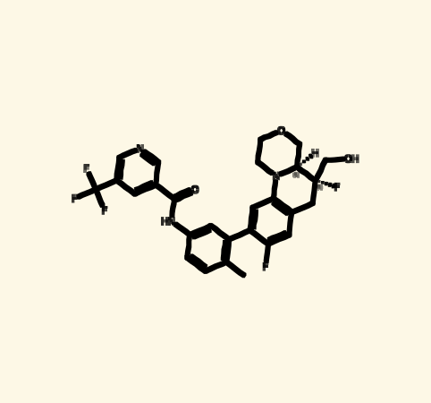 Cc1ccc(NC(=O)c2cncc(C(F)(F)F)c2)cc1-c1cc2c(cc1F)C[C@](F)(CO)[C@@H]1COCCN21